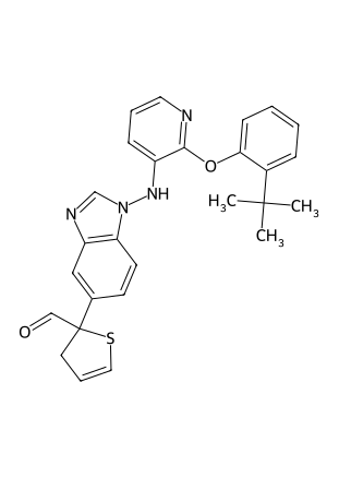 CC(C)(C)c1ccccc1Oc1ncccc1Nn1cnc2cc(C3(C=O)CC=CS3)ccc21